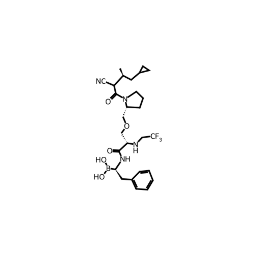 C[C@@H](CC1CC1)C(C#N)C(=O)N1CCC[C@@H]1COC[C@H](NCC(F)(F)F)C(=O)N[C@@H](Cc1ccccc1)B(O)O